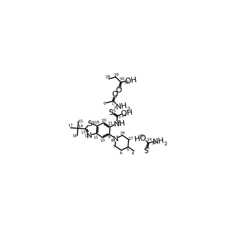 CC(N)=O.CC1CCN(c2cc3nc(C(C)(C)C)sc3cc2NC(O)=S)CC1.CCC(=O)O.NC(O)=S